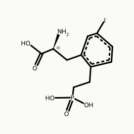 N[C@@H](Cc1cc(I)ccc1CCP(=O)(O)O)C(=O)O